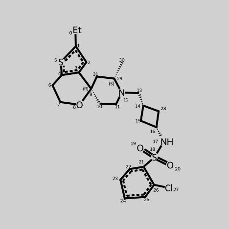 CCc1cc2c(s1)CCO[C@@]21CCN(C[C@H]2C[C@@H](NS(=O)(=O)c3ccccc3Cl)C2)[C@@H](C)C1